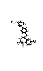 Cn1cc(C(F)(F)F)nc1-c1ccc(CN2CCC(=O)Nc3cnc(Cl)nc32)cc1